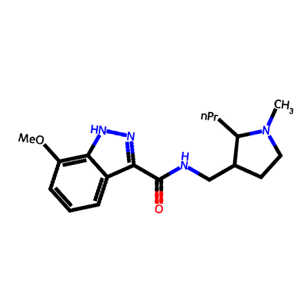 CCCC1C(CNC(=O)c2n[nH]c3c(OC)cccc23)CCN1C